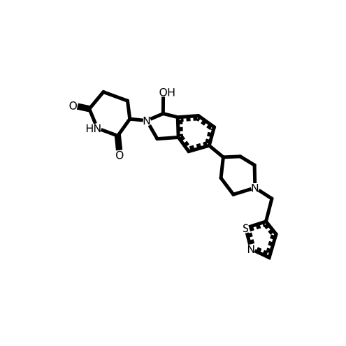 O=C1CCC(N2Cc3cc(C4CCN(Cc5ccns5)CC4)ccc3C2O)C(=O)N1